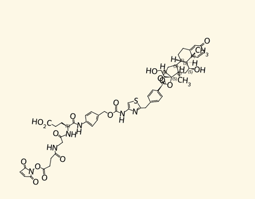 C[C@]12C=CC(=O)C=C1CC[C@@H]1[C@@H]2[C@@H](O)C[C@@]2(C)[C@H]1C[C@H]1O[C@H](c3ccc(Cc4nc(NC(=O)OCc5ccc(NC(=O)[C@H](CCC(=O)O)NC(=O)CNC(=O)CCC(=O)ON6C(=O)C=CC6=O)cc5)cs4)cc3)O[C@]12C(=O)CO